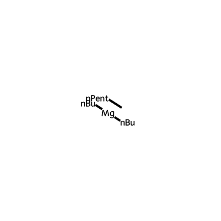 CCCCCC.CCC[CH2][Mg][CH2]CCC